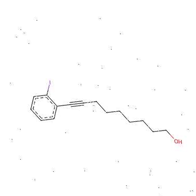 OCCCCCCCC#Cc1ccccc1I